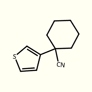 N#CC1(c2ccsc2)CCCCC1